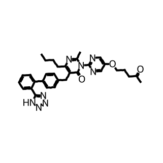 CCCCc1nc(C)n(-c2ncc(OCCCC(C)=O)cn2)c(=O)c1Cc1ccc(-c2ccccc2-c2nnn[nH]2)cc1